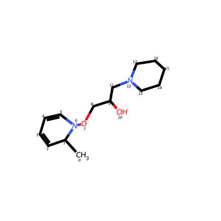 CC1C=CC=CN1OCC(O)CN1CCCCC1